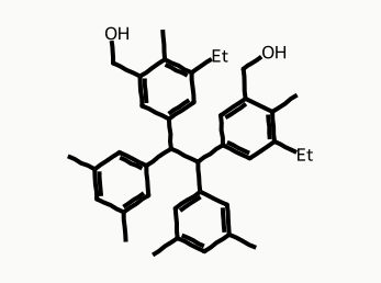 CCc1cc(C(c2cc(C)cc(C)c2)C(c2cc(C)cc(C)c2)c2cc(CC)c(C)c(CO)c2)cc(CO)c1C